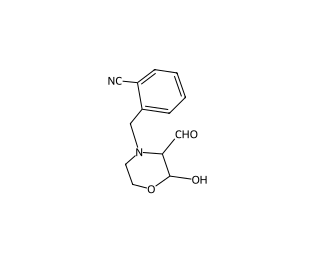 N#Cc1ccccc1CN1CCOC(O)C1C=O